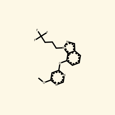 COc1cc(Oc2cccc3cnn(CCCC(F)(F)F)c23)ncn1